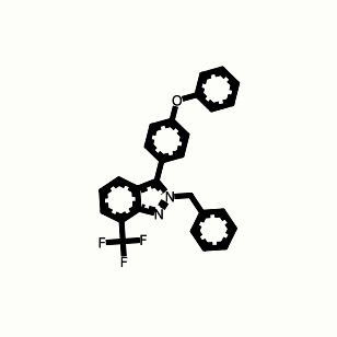 FC(F)(F)c1cccc2c(-c3ccc(Oc4ccccc4)cc3)n(Cc3ccccc3)nc12